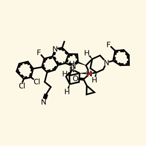 Cc1nc2c(F)c(-c3cccc(Cl)c3Cl)c(CCC#N)cc2c2c1cc([C@H]1[C@H]3C[C@H](CN(c4ccccc4F)C3)N1C(=O)C1CC1)n2[C@H]1[C@H]2CN[C@@H]1C2